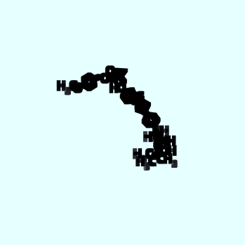 COc1ccc(COC(=O)NC2(COc3ccc4c(c3)sc3cc(-c5ccc(NNC(=N)/C=C(\O)C(C)(C)C)cc5)cn34)CC2)cc1